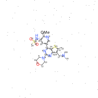 COc1ncc(-c2nc(N3CCOCC3)nc3c(CN(C)C)c(C)sc23)cc1NS(C)(=O)=O